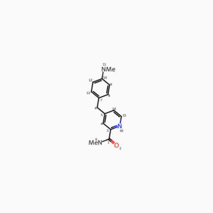 CNC(=O)c1cc(Cc2ccc(NC)cc2)ccn1